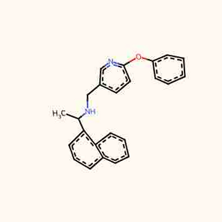 CC(NCc1ccc(Oc2ccccc2)nc1)c1cccc2ccccc12